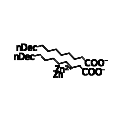 CCCCCCCCCCCCCCCCCC(=O)[O-].CCCCCCCCCCCCCCCCCC(=O)[O-].[Zn+2].[Zn]